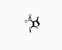 CSc1scc(C)c1[N+](=O)[O-]